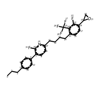 CCCc1ccc(-c2ccc(CCCCc3ccc(C4CO4)c(F)c3C(F)(F)F)nc2F)cc1